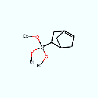 CCO[Si](OCC)(OCC)C1CC2=CCC1C2